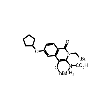 CCCCOc1c(N(C)C(=O)O)n(CC(C)(C)C)c(=O)c2ccc(OC3CCCC3)cc12